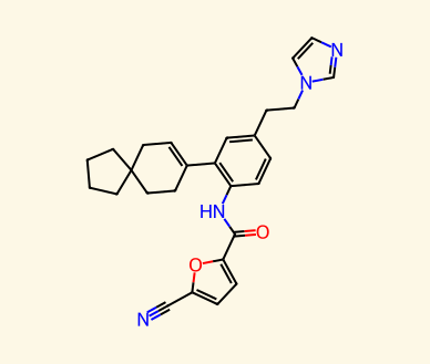 N#Cc1ccc(C(=O)Nc2ccc(CCn3ccnc3)cc2C2=CCC3(CCCC3)CC2)o1